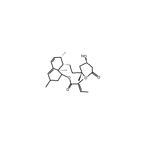 C/C=C(\C)C(=O)OC1CC(C)C=C2C=C[C@H](C)[C@H](CC[C@]3(C)C[C@@H](O)CC(=O)O3)[C@]21C